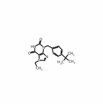 CCn1cnc2c1c(=O)[nH]c(=O)n2Cc1ccc(C(C)(C)C)cc1